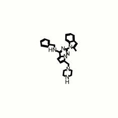 Cc1cc2ccccc2n1-c1nc(NCc2ccccc2)c2ccc(CN3CCNCC3)n2n1